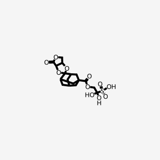 O=C1OCC2OC3(OC12)C1CC2CC3CC(C(=O)OCC(O)(O)S(=O)(=O)O)(C2)C1